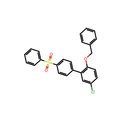 O=S(=O)(c1ccccc1)c1ccc(-c2cc(Cl)ccc2OCc2ccccc2)cc1